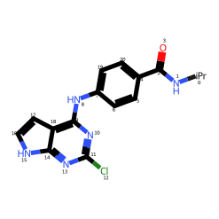 CC(C)NC(=O)c1ccc(Nc2nc(Cl)nc3[nH]ccc23)cc1